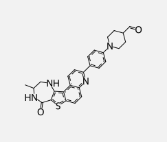 CC1CNc2c(sc3ccc4nc(-c5ccc(N6CCC(C=O)CC6)cc5)ccc4c23)C(=O)N1